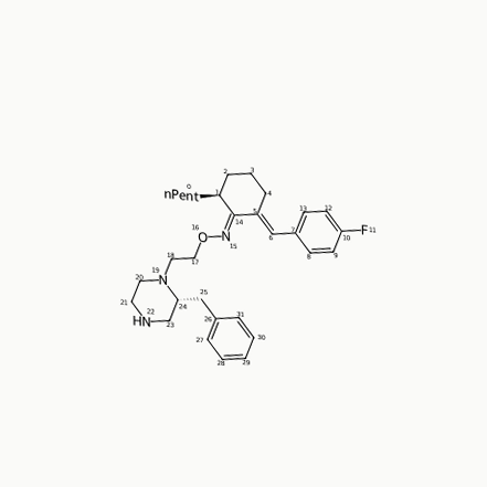 CCCCC[C@H]1CCCC(=C\c2ccc(F)cc2)/C1=N/OCCN1CCNC[C@H]1Cc1ccccc1